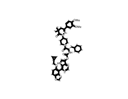 COc1ccc(C2=NN(C3CCN(C(=O)[C@H](CC4CCCCC4)NC(=O)Oc4c[nH]c5c(-c6c(OCC7CC7)ccc7c6OCO7)ncnc45)CC3)C(=O)C(C)(C)C2)cc1OC